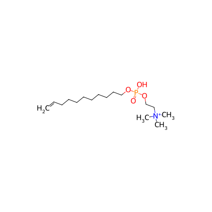 C=CCCCCCCCCCOP(=O)(O)OCC[N+](C)(C)C